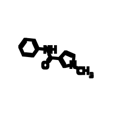 Cn1ccc(C(=O)Nc2ccccc2)c1